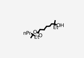 CCCC(C)(CC)OC(=O)CCCCCC(C)(O)CC